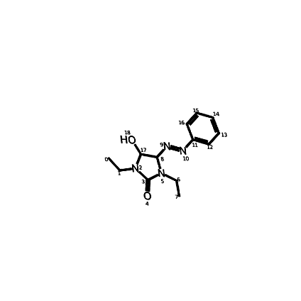 CCN1C(=O)N(CC)C(N=Nc2ccccc2)C1O